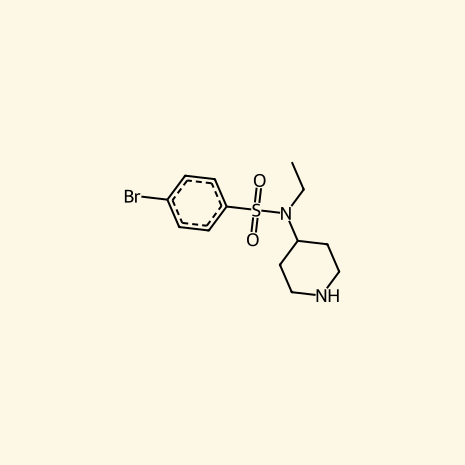 CCN(C1CCNCC1)S(=O)(=O)c1ccc(Br)cc1